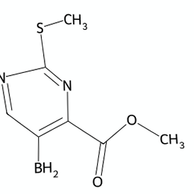 Bc1cnc(SC)nc1C(=O)OC